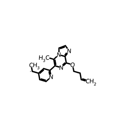 C=CCCOc1nc(-c2cc([CH]C)ccn2)c(C)n2ccnc12